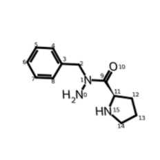 NN(Cc1ccccc1)C(=O)[C@H]1CCCN1